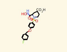 O=C(O)C1CCN(S(=O)(=O)c2ccc(OCc3ccc(F)cc3)cc2)C(C(=O)NO)C1